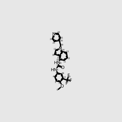 COc1ccc(NC(=O)Nc2cccc3c2ccn3Cc2ccncc2)cc1C(F)(F)F